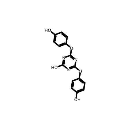 Oc1ccc(Oc2nc(O)nc(Oc3ccc(O)cc3)n2)cc1